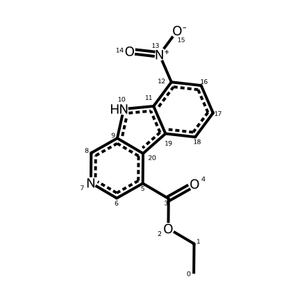 CCOC(=O)c1cncc2[nH]c3c([N+](=O)[O-])cccc3c12